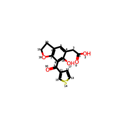 O=C(O)Cc1cc2c(c(C(=O)c3ccsc3)c1O)OCC2